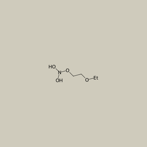 CCOCCON(O)O